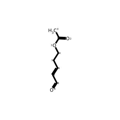 CC(=O)OCCC=C[C]=O